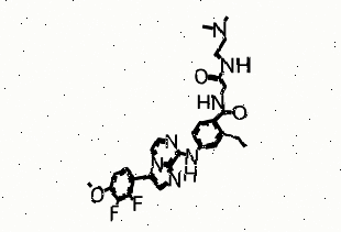 CCc1cc(Nc2nccn3c(-c4ccc(OC)c(F)c4F)cnc23)ccc1C(=O)NCC(=O)NCCN(C)C